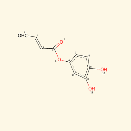 O=CC=CC(=O)Oc1ccc(O)c(O)c1